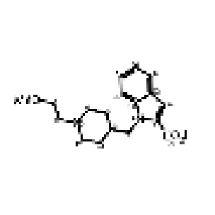 COCCN1CCC(Cn2c(C(=O)O)cc3ccccc32)CC1